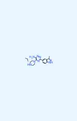 CCC[C@@H]1CN(c2nc(-c3ccc4[nH]nc(C)c4c3)nnc2N)CCN1